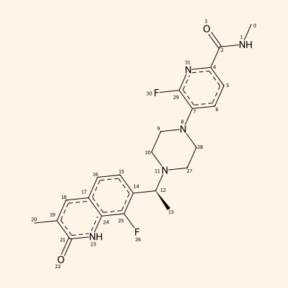 CNC(=O)c1ccc(N2CCN([C@@H](C)c3ccc4cc(C)c(=O)[nH]c4c3F)CC2)c(F)n1